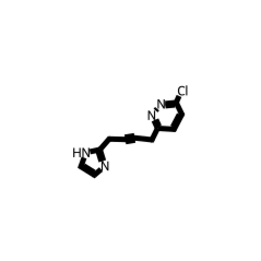 Clc1ccc(CC#CCc2ncc[nH]2)nn1